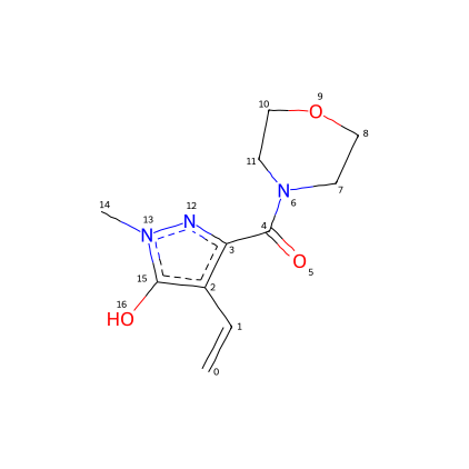 C=Cc1c(C(=O)N2CCOCC2)nn(C)c1O